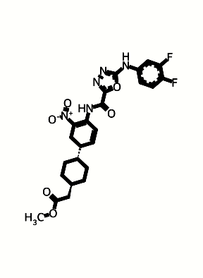 COC(=O)C[C@H]1CC[C@H](C2C=CC(NC(=O)c3nnc(Nc4ccc(F)c(F)c4)o3)=C([N+](=O)[O-])C2)CC1